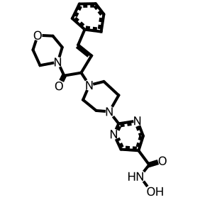 O=C(NO)c1cnc(N2CCN(C(/C=C/c3ccccc3)C(=O)N3CCOCC3)CC2)nc1